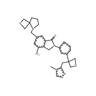 Cn1cnnc1CC1(c2cccc(N3Cc4c(cc(CN5CCCC56COC6)cc4C(F)(F)F)C3=O)c2)COC1